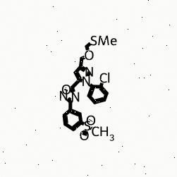 CSCOCc1cc(-c2nc(-c3cccc(S(C)(=O)=O)c3)no2)n(-c2ccccc2Cl)n1